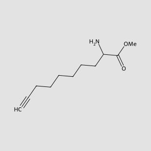 C#CCCCCCCC(N)C(=O)OC